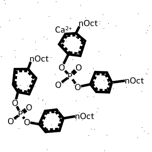 CCCCCCCCc1ccc(OP(=O)([O-])Oc2ccc(CCCCCCCC)cc2)cc1.CCCCCCCCc1ccc(OP(=O)([O-])Oc2ccc(CCCCCCCC)cc2)cc1.[Ca+2]